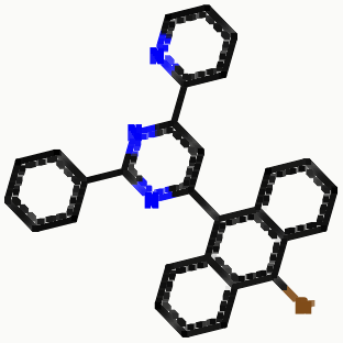 Brc1c2ccccc2c(-c2cc(-c3ccccn3)nc(-c3ccccc3)n2)c2ccccc12